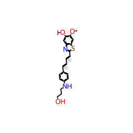 COc1cc2sc(/C=C/C=C/c3ccc(NCCCO)cc3)nc2cc1OI